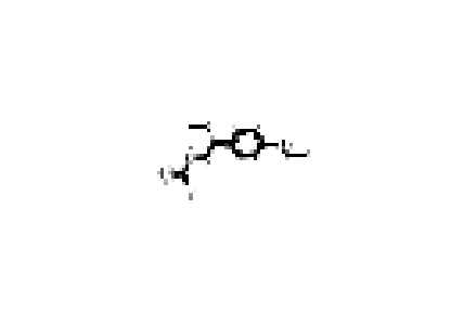 CCNc1ccc([C@@H](CC)COC(N)=O)cc1